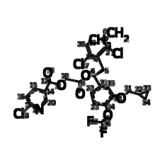 C=C/C(Cl)=C(C[C@H](OC(=O)COC(=O)c1ccc(Cl)nc1)c1ccc(OC(F)F)c(OCC2CC2)c1)\C(Cl)=C/C